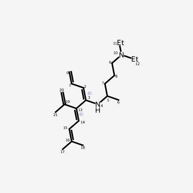 C=C/C=C(NC(C)CCCN(CC)CC)\C(=C\C=C(C)C)C(=C)C